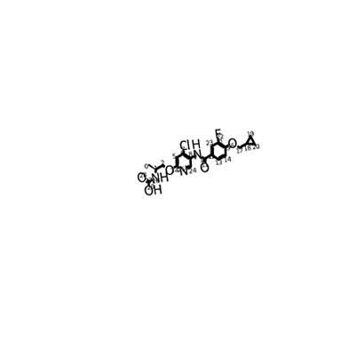 C[C@@H](COc1cc(Cl)c(NC(=O)c2ccc(OCC3CC3)c(F)c2)cn1)NC(=O)O